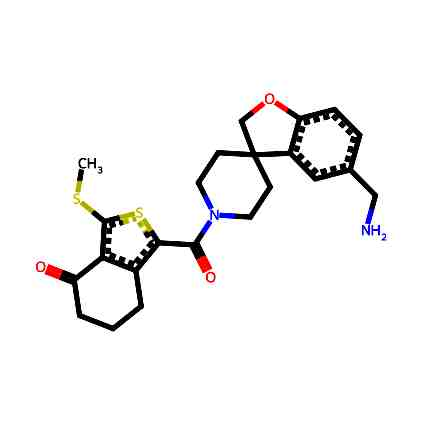 CSc1sc(C(=O)N2CCC3(CC2)COc2ccc(CN)cc23)c2c1C(=O)CCC2